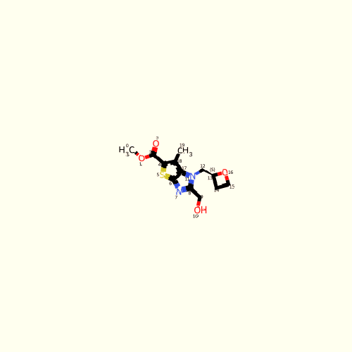 COC(=O)c1sc2nc(CO)n(C[C@@H]3CCO3)c2c1C